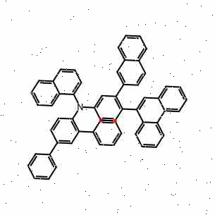 c1ccc(-c2ccc(N(c3ccc(-c4cc5ccccc5c5ccccc45)c(-c4ccc5ccccc5c4)c3)c3cccc4ccccc34)c(-c3ccccc3)c2)cc1